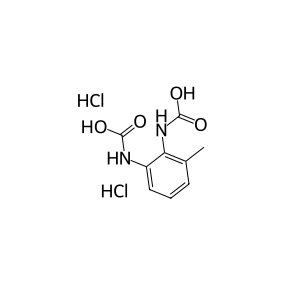 Cc1cccc(NC(=O)O)c1NC(=O)O.Cl.Cl